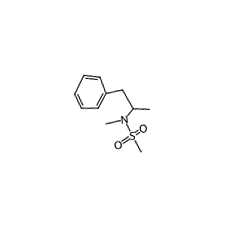 CC(Cc1ccccc1)N(C)S(C)(=O)=O